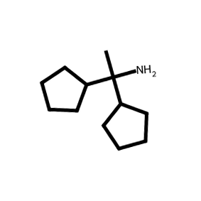 CC(N)(C1CCCC1)C1CCCC1